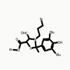 CC(C)OC(=O)C1SC(C)(c2cc(C(C)(C)C)c(O)c(C(C)(C)C)c2)N(CCCBr)C1C=O